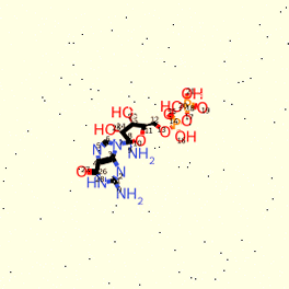 Nc1nc2c(ncn2[C@]2(N)O[C@H](COP(=O)(O)OP(=O)(O)O)[C@@H](O)[C@H]2O)c(=O)[nH]1